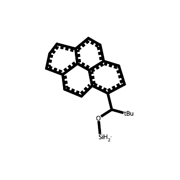 CC(C)(C)C(O[SiH2])c1ccc2ccc3cccc4ccc1c2c34